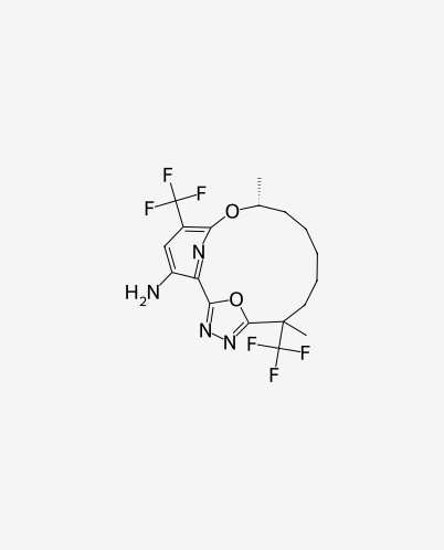 C[C@@H]1CCCCCC(C)(C(F)(F)F)c2nnc(o2)-c2nc(c(C(F)(F)F)cc2N)O1